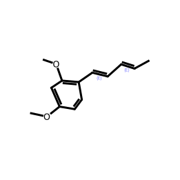 C/C=C/C=C/c1ccc(OC)cc1OC